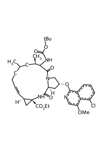 CCOC(=O)[C@@]12C[C@H]1/C=C\CCC(C)C[C@@H](C)C(NC(=O)OC(C)(C)C)C(=O)N1C[C@H](Oc3ncc(OC)c4c(Cl)cccc34)C[C@H]1C(=O)N2